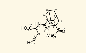 C#CCC(NC(=O)C12CC3CC(C1)CC(C(=O)OC)(C3)C2)C(=O)O